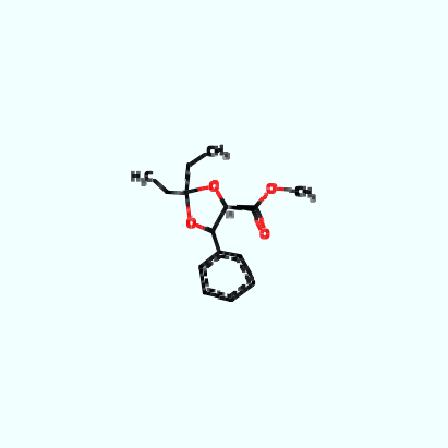 CCC1(CC)OC(c2ccccc2)[C@H](C(=O)OC)O1